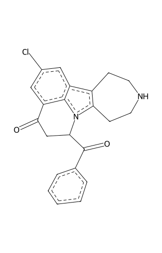 O=C1CC(C(=O)c2ccccc2)n2c3c(c4cc(Cl)cc1c42)CCNCC3